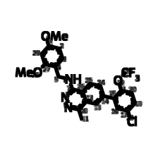 COc1ccc(CNc2nnc(C)c3cc(-c4cc(Cl)ccc4OC(F)(F)F)ccc23)c(OC)c1